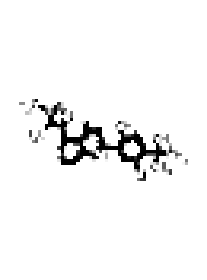 Cc1cc(C(C)(C)C)c(Cl)cc1-c1cc(=O)c2c(-c3nnn(C)c3C)nccc2[nH]1